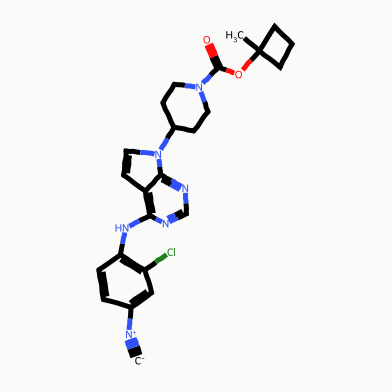 [C-]#[N+]c1ccc(Nc2ncnc3c2ccn3C2CCN(C(=O)OC3(C)CCC3)CC2)c(Cl)c1